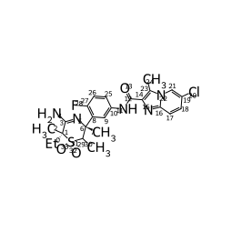 CC[C@]1(C)C(N)=N[C@](C)(c2cc(NC(=O)c3nc4ccc(Cl)cn4c3C)ccc2F)C(C)S1(=O)=O